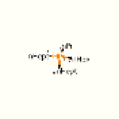 CCCCCCC[PH](CCC)(CCCCCC)CCCCCCC